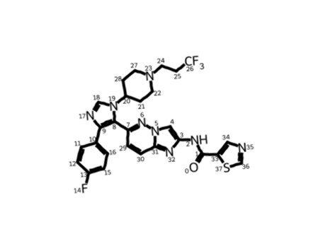 O=C(Nc1cn2nc(-c3c(-c4ccc(F)cc4)ncn3C3CCN(CCC(F)(F)F)CC3)ccc2n1)c1cncs1